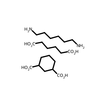 NCCCCCCN.O=C(O)C1CCCC(C(=O)O)C1.O=C(O)CCCCC(=O)O